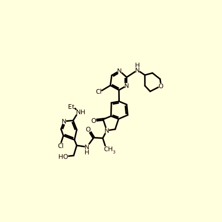 CCNc1cc(C(CO)NC(=O)C(C)N2Cc3ccc(-c4nc(NC5CCOCC5)ncc4Cl)cc3C2=O)c(Cl)cn1